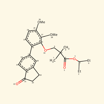 CCC(CC)OC(=O)C(C)(C)COc1c(-c2ccc3c(c2)CCC3=O)ccc(OC)c1OC